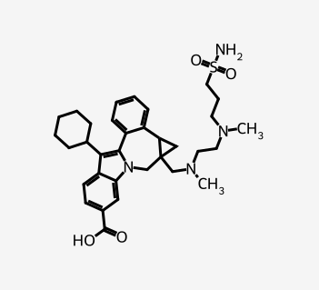 CN(CCCS(N)(=O)=O)CCN(C)CC12CC1c1ccccc1-c1c(C3CCCCC3)c3ccc(C(=O)O)cc3n1C2